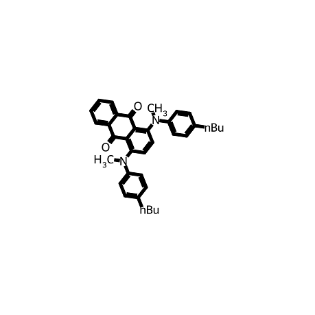 CCCCc1ccc(N(C)c2ccc(N(C)c3ccc(CCCC)cc3)c3c2C(=O)c2ccccc2C3=O)cc1